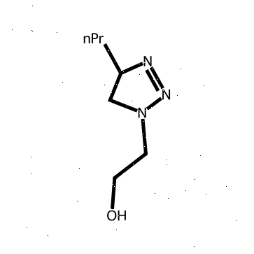 CCCC1CN(CCO)N=N1